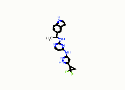 C[C@H](Nc1nccc(Nc2cc(C3CC3(F)F)[nH]n2)n1)c1ccc2[nH]ccc2c1